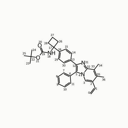 C=Cc1cn2c(-c3ccccc3)c(-c3ccc(C4(NC(=O)OC(C)(C)C)CCC4)cc3)nc2c(C)c1C